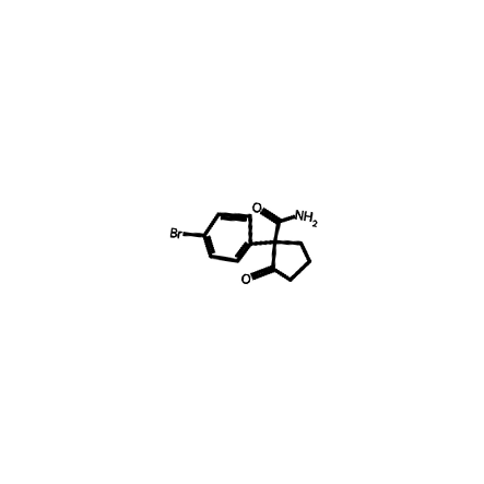 NC(=O)C1(c2ccc(Br)cc2)CCCC1=O